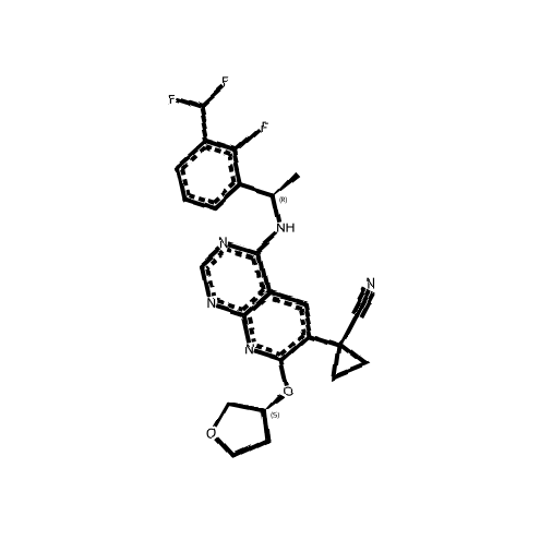 C[C@@H](Nc1ncnc2nc(O[C@H]3CCOC3)c(C3(C#N)CC3)cc12)c1cccc(C(F)F)c1F